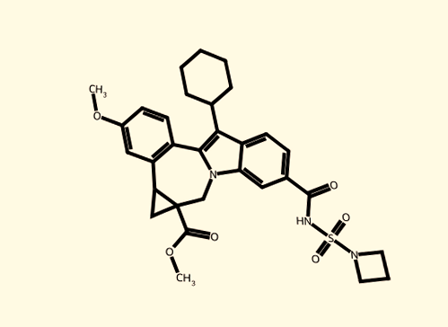 COC(=O)C12CC1c1cc(OC)ccc1-c1c(C3CCCCC3)c3ccc(C(=O)NS(=O)(=O)N4CCC4)cc3n1C2